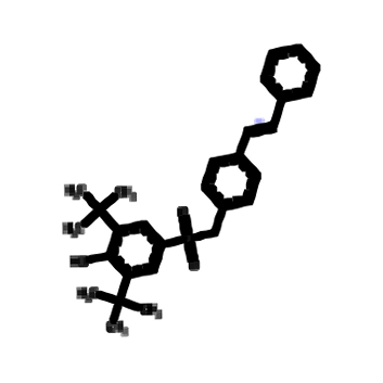 CC(C)(C)c1cc(S(=O)(=O)Cc2ccc(/C=C/c3ccccc3)cc2)cc(C(C)(C)C)c1O